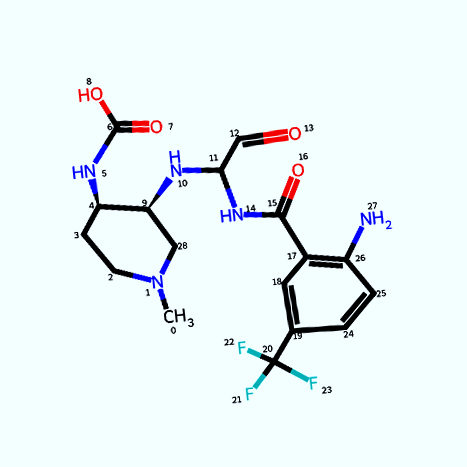 CN1CC[C@@H](NC(=O)O)[C@@H](NC(C=O)NC(=O)c2cc(C(F)(F)F)ccc2N)C1